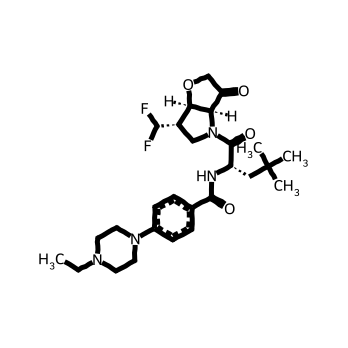 CCN1CCN(c2ccc(C(=O)N[C@@H](CC(C)(C)C)C(=O)N3C[C@H](C(F)F)[C@H]4OCC(=O)[C@H]43)cc2)CC1